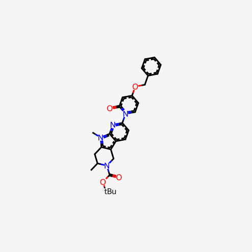 CC1Cc2c(c3ccc(-n4ccc(OCc5ccccc5)cc4=O)nc3n2C)CN1C(=O)OC(C)(C)C